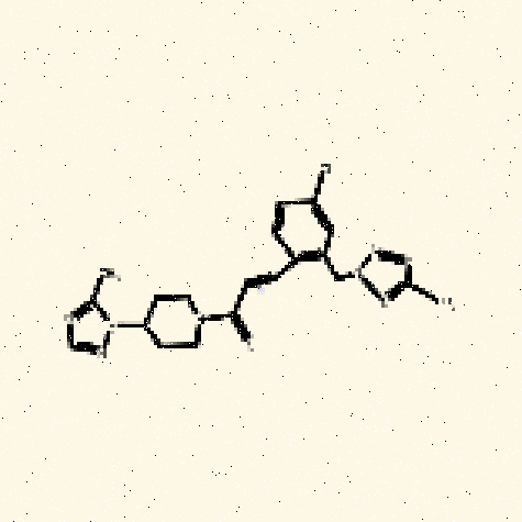 Cc1nnn(Cc2cc(Cl)ccc2/C=C/C(=O)N2CCC(n3ncnc3C)CC2)n1